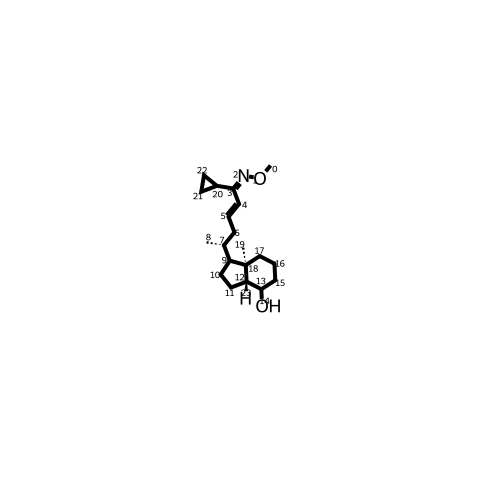 CO/N=C(\C=C\C[C@@H](C)C1CC[C@H]2C(O)CCC[C@]12C)C1CC1